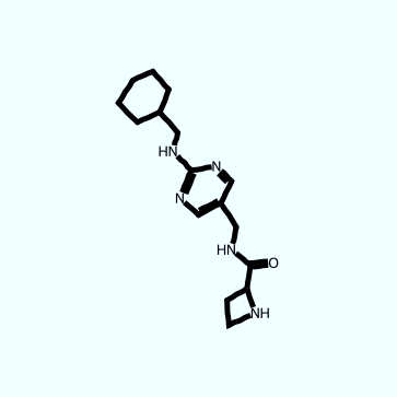 O=C(NCc1cnc(NCC2CCCCC2)nc1)C1CCN1